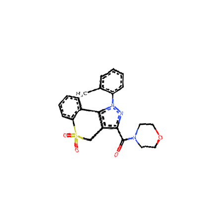 Cc1ccccc1-n1nc(C(=O)N2CCOCC2)c2c1-c1ccccc1S(=O)(=O)C2